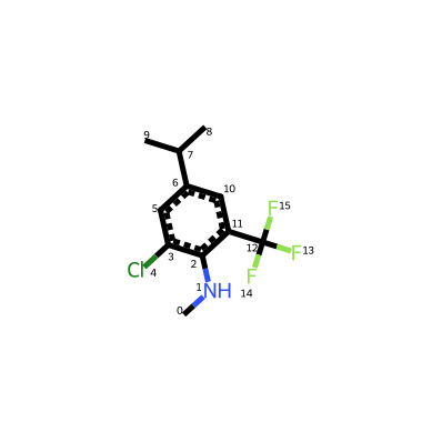 CNc1c(Cl)cc(C(C)C)cc1C(F)(F)F